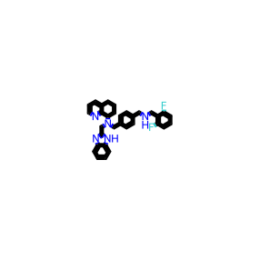 Fc1cccc(F)c1CNCc1ccc(CN(Cc2nc3ccccc3[nH]2)C2CCCc3cccnc32)cc1